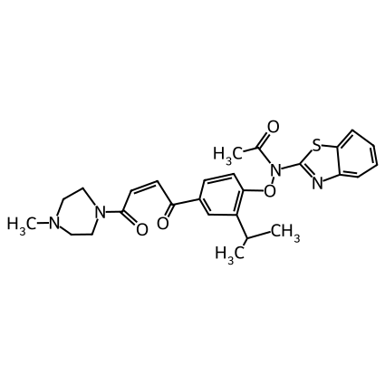 CC(=O)N(Oc1ccc(C(=O)/C=C\C(=O)N2CCN(C)CC2)cc1C(C)C)c1nc2ccccc2s1